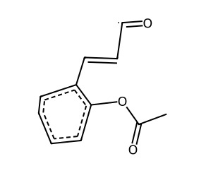 CC(=O)Oc1ccccc1C=C[C]=O